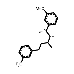 COc1cccc([C@@H](C)NC(C)CCc2cccc(C(F)(F)F)c2)c1